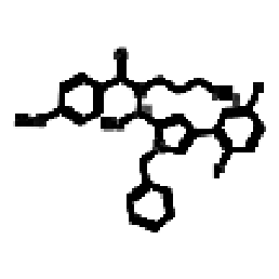 CSc1ccc(C(=O)N(CCCN)[C@@H](c2cc(-c3cc(F)ccc3F)cn2Cc2ccccc2)C(C)(C)C)cc1